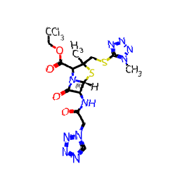 Cn1nnnc1SCC1(C)S[C@@H]2C(NC(=O)Cn3cnnn3)C(=O)N2C1C(=O)OCC(Cl)(Cl)Cl